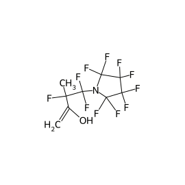 C=C(O)C(C)(F)C(F)(F)N1C(F)(F)C(F)(F)C(F)(F)C1(F)F